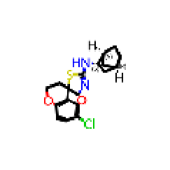 O=C1N=C(N[C@H]2C[C@@H]3CC[C@H]2C3)SC12CCOc1ccc(Cl)cc12